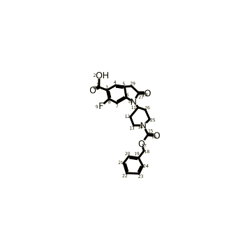 O=C(O)c1cc2c(cc1F)N(C1CCN(C(=O)OCc3ccccc3)CC1)C(=O)C2